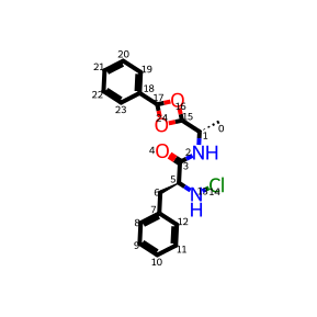 C[C@H](NC(=O)[C@H](Cc1ccccc1)NCl)C1OC(c2ccccc2)O1